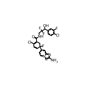 Nc1nc2cc(C3(F)C=CC(Cl)=C(C(=O)NCC(F)(F)C(O)c4ccc(Cl)c(F)c4)C3)ccn2n1